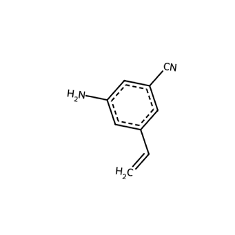 C=Cc1cc(N)cc(C#N)c1